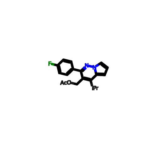 CC(=O)OCc1c(-c2ccc(F)cc2)nn2cccc2c1C(C)C